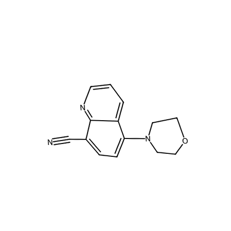 N#Cc1ccc(N2CCOCC2)c2cccnc12